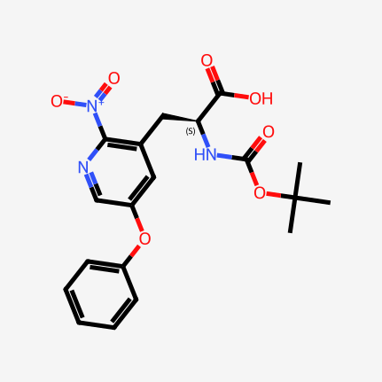 CC(C)(C)OC(=O)N[C@@H](Cc1cc(Oc2ccccc2)cnc1[N+](=O)[O-])C(=O)O